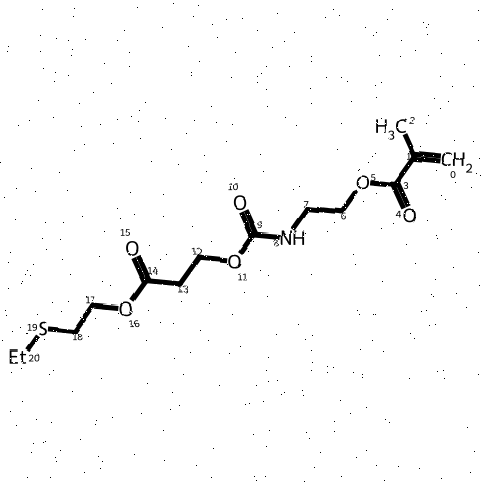 C=C(C)C(=O)OCCNC(=O)OCCC(=O)OCCSCC